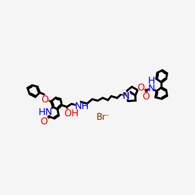 O=C(Nc1ccccc1-c1ccccc1)OC1CC[N@@+]2(CCCCCCCCCNCC(O)c3ccc(OCc4ccccc4)c4[nH]c(=O)ccc34)CCC1C2.[Br-]